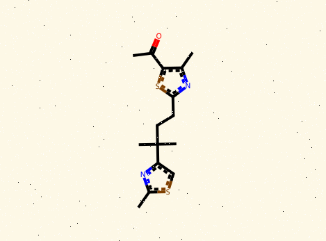 CC(=O)c1sc(CCC(C)(C)c2csc(C)n2)nc1C